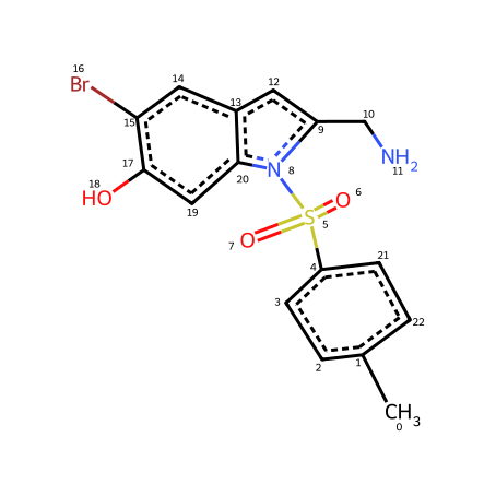 Cc1ccc(S(=O)(=O)n2c(CN)cc3cc(Br)c(O)cc32)cc1